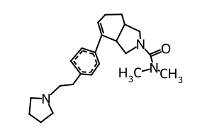 CN(C)C(=O)N1CC2CCC=C(c3ccc(CCN4CCCC4)cc3)C2C1